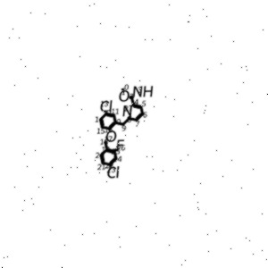 COC(=N)c1cccc(Cc2cc(Cl)ccc2OCc2ccc(Cl)cc2F)n1